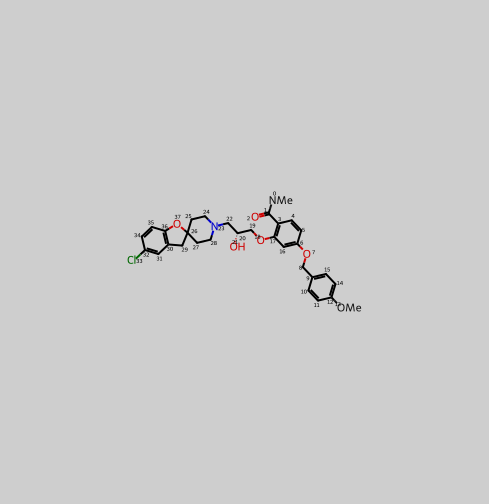 CNC(=O)c1ccc(OCc2ccc(OC)cc2)cc1OC[C@H](O)CN1CCC2(CC1)Cc1cc(Cl)ccc1O2